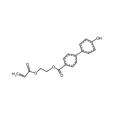 C=CC(=O)OCCOC(=O)c1ccc(-c2ccc(O)cc2)cc1